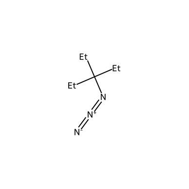 CCC(CC)(CC)N=[N+]=[N-]